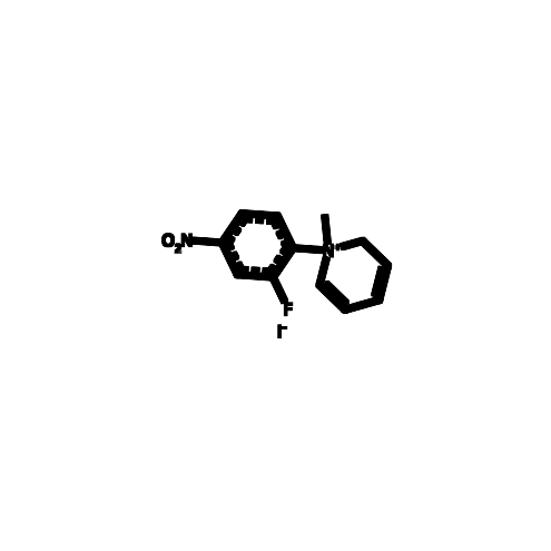 C[N+]1(c2ccc([N+](=O)[O-])cc2F)C=CC=CC1.[I-]